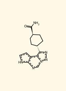 NC(=O)[C@H]1CC[C@H](c2nnn3cnc4[nH]ccc4c23)CC1